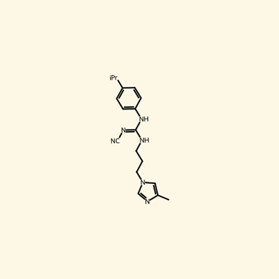 Cc1cn(CCCNC(=NC#N)Nc2ccc(C(C)C)cc2)cn1